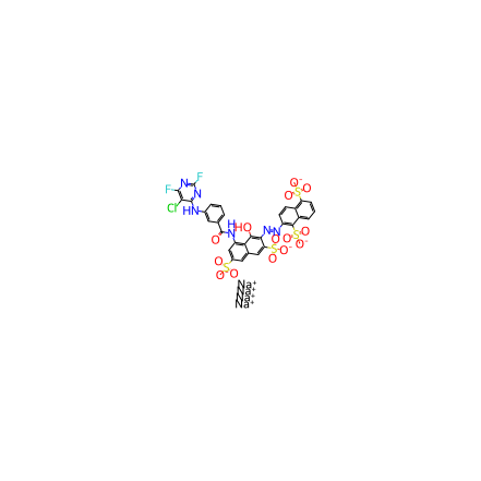 O=C(Nc1cc(S(=O)(=O)[O-])cc2cc(S(=O)(=O)[O-])c(N=Nc3ccc4c(S(=O)(=O)[O-])cccc4c3S(=O)(=O)[O-])c(O)c12)c1cccc(Nc2nc(F)nc(F)c2Cl)c1.[Na+].[Na+].[Na+].[Na+]